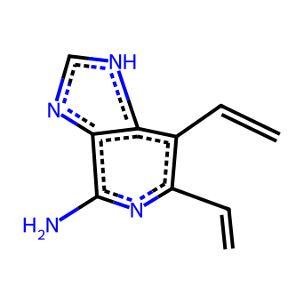 C=Cc1nc(N)c2nc[nH]c2c1C=C